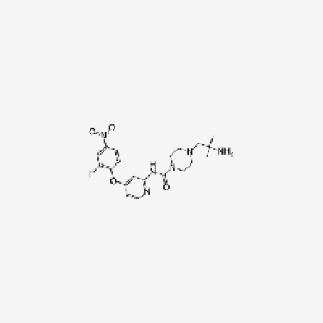 CC(C)(N)CN1CCN(C(=O)Nc2cc(Oc3ccc([N+](=O)[O-])cc3F)ccn2)CC1